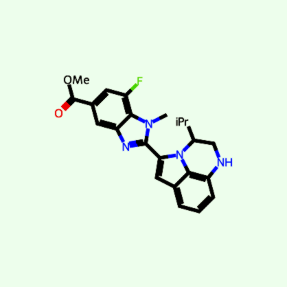 COC(=O)c1cc(F)c2c(c1)nc(-c1cc3cccc4c3n1C(C(C)C)CN4)n2C